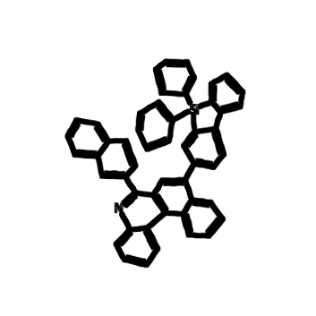 c1ccc([Si]2(c3ccccc3)c3ccccc3-c3ccc(-c4cc5c(-c6ccc7ccccc7c6)nc6ccccc6c5c5ccccc45)cc32)cc1